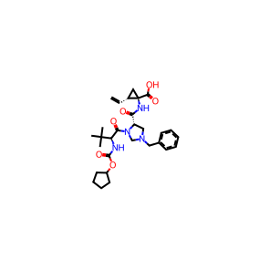 C=C[C@@H]1C[C@]1(NC(=O)[C@@H]1CN(Cc2ccccc2)CN1C(=O)[C@@H](NC(=O)OC1CCCC1)C(C)(C)C)C(=O)O